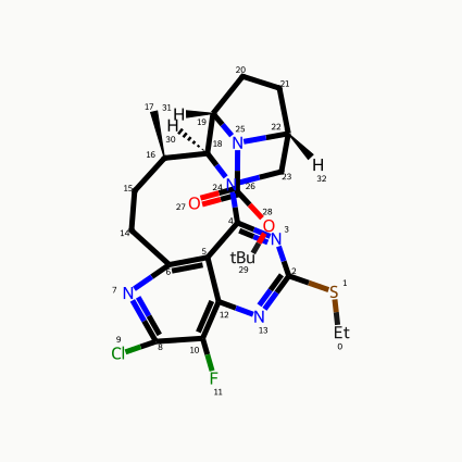 CCSc1nc2c3c(nc(Cl)c(F)c3n1)CC[C@@H](C)[C@H]1[C@@H]3CC[C@H](CN21)N3C(=O)OC(C)(C)C